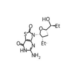 C[CH][C@H]1C[C@@H]([C@@H](O)CC)O[C@H]1n1c(=O)sc2c(=O)[nH]c(N)nc21